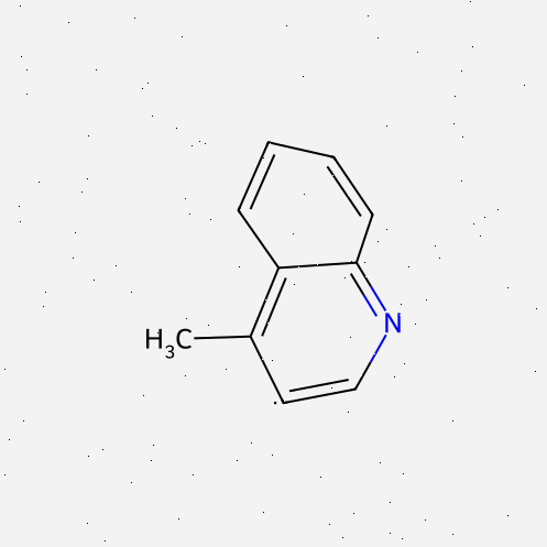 Cc1[c]cnc2ccccc12